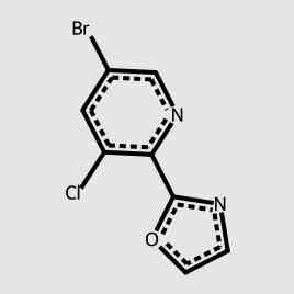 Clc1cc(Br)cnc1-c1ncco1